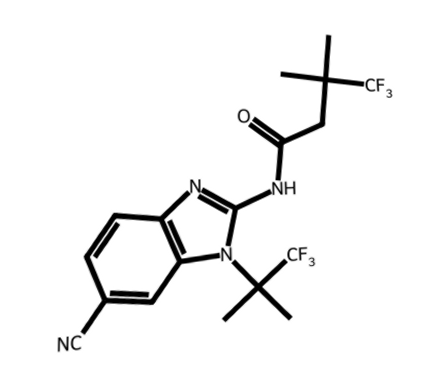 CC(C)(CC(=O)Nc1nc2ccc(C#N)cc2n1C(C)(C)C(F)(F)F)C(F)(F)F